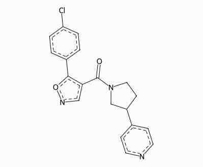 O=C(c1cnoc1-c1ccc(Cl)cc1)N1CCC(c2ccncc2)C1